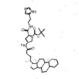 C[C@H](CCC(=O)N[C@H]1C[C@@H](C(=O)NCCc2cnc[nH]2)N(C(=O)OC(C)(C)C)C1)[C@H]1CCC2C3CCC4CCCC[C@]4(C)C3CC[C@@]21C